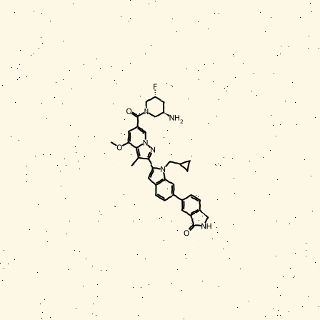 COc1cc(C(=O)N2C[C@H](N)C[C@@H](F)C2)cn2nc(-c3cc4ccc(-c5ccc6c(c5)C(=O)NC6)cc4n3CC3CC3)c(C)c12